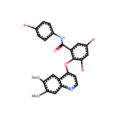 COc1cc2nccc(Oc3c(Br)cc(Br)cc3C(=O)Nc3ccc(Br)cc3)c2cc1OC